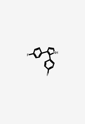 Fc1ccc(-c2cc[nH]c2-c2ccc(F)cc2)cc1